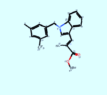 Cc1cc(Cn2cc(/C=C(\C#N)C(=O)OC(C)(C)C)c3ccccc32)cc(C(F)(F)F)c1